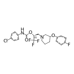 O=C(Nc1ccc(Cl)cc1)O[C@@H](CN1CCCC(Oc2ccc(F)cc2)C1)C(F)(F)F